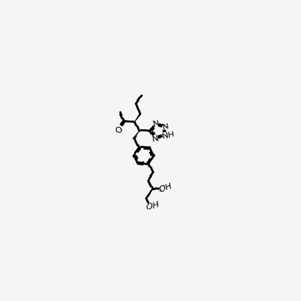 CCC[C@H](C(C)=O)[C@H](Cc1ccc(CCC(O)CO)cc1)c1nn[nH]n1